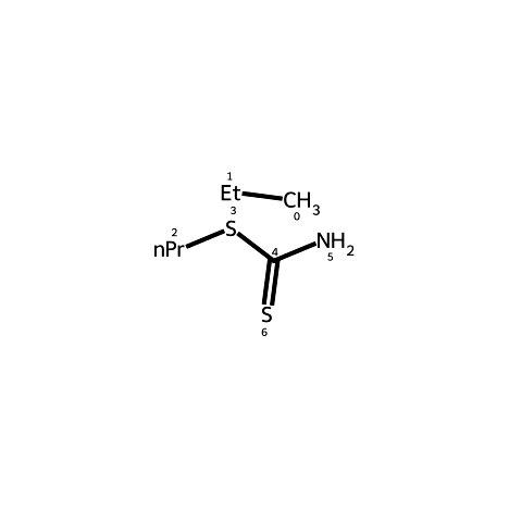 CCC.CCCSC(N)=S